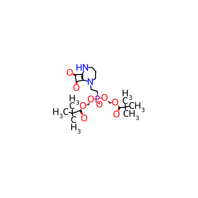 CC(C)(C)C(=O)OCOP(=O)(CCN1CCCNc2c1c(=O)c2=O)OCOC(=O)C(C)(C)C